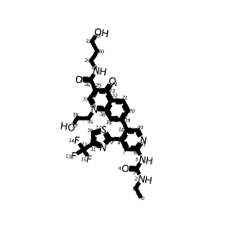 CCNC(=O)Nc1cc(-c2nc(C(F)(F)F)cs2)c(-c2ccc3c(=O)c(C(=O)NCCCO)cn(CCO)c3c2)cn1